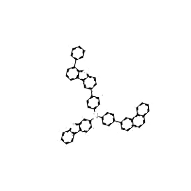 c1ccc(-c2cccc3c2oc2ccc(-c4ccc(N(c5ccc(-c6ccc7ccc8ccccc8c7c6)cc5)c5ccc6c(c5)sc5ccccc56)cc4)cc23)cc1